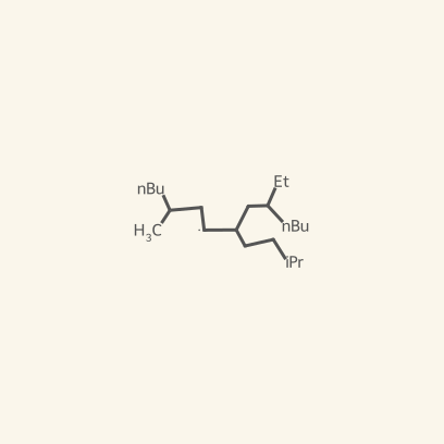 CCCCC(C)C[CH]C(CCC(C)C)CC(CC)CCCC